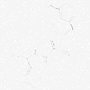 CC(NC(=O)/C(C#N)=C/c1ccc2cccc(Cl)c2n1)c1ccccc1